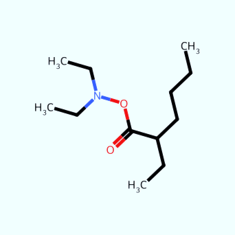 CCCCC(CC)C(=O)ON(CC)CC